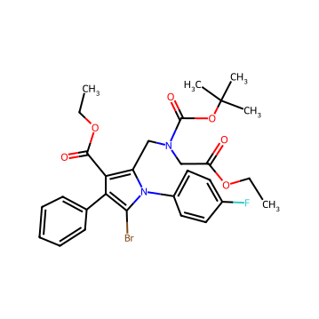 CCOC(=O)CN(Cc1c(C(=O)OCC)c(-c2ccccc2)c(Br)n1-c1ccc(F)cc1)C(=O)OC(C)(C)C